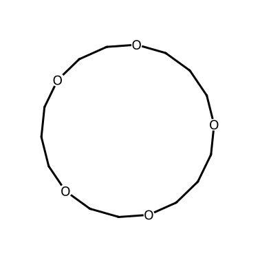 C1COCCCOCCOCCCOCCOC1